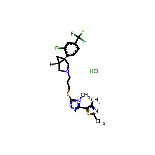 Cc1nc(C)c(-c2nnc(SCCCN3C[C@@H]4C[C@]4(c4ccc(C(F)(F)F)cc4F)C3)n2C)s1.Cl